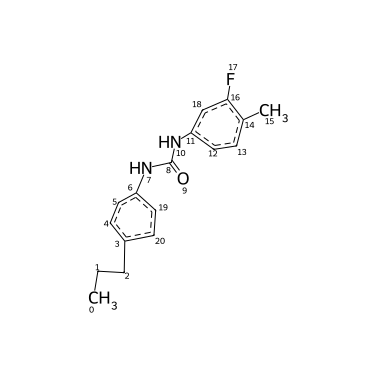 CCCc1ccc(NC(=O)Nc2ccc(C)c(F)c2)cc1